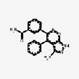 NC(=O)c1cccc(-c2nnc3[nH]nc(N)c3c2-c2ccccc2)c1